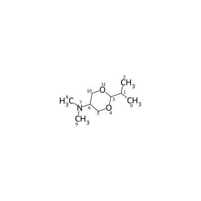 CC(C)C1OCC(N(C)C)CO1